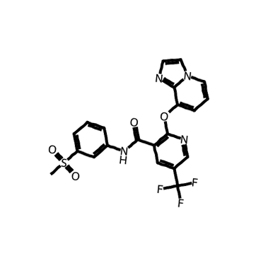 CS(=O)(=O)c1cccc(NC(=O)c2cc(C(F)(F)F)cnc2Oc2cccn3ccnc23)c1